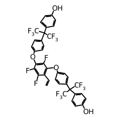 C=Cc1c(F)c(F)c(Oc2ccc(C(c3ccc(O)cc3)(C(F)(F)F)C(F)(F)F)cc2)c(F)c1Oc1ccc(C(c2ccc(O)cc2)(C(F)(F)F)C(F)(F)F)cc1